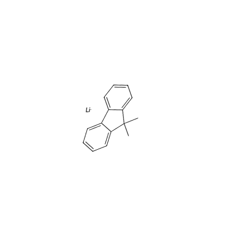 CC1(C)c2ccccc2-c2ccccc21.[Li]